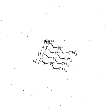 CC[N-]CC.CC[N-]CC.CC[N-]CC.CC[N-]CC.[Ge+4]